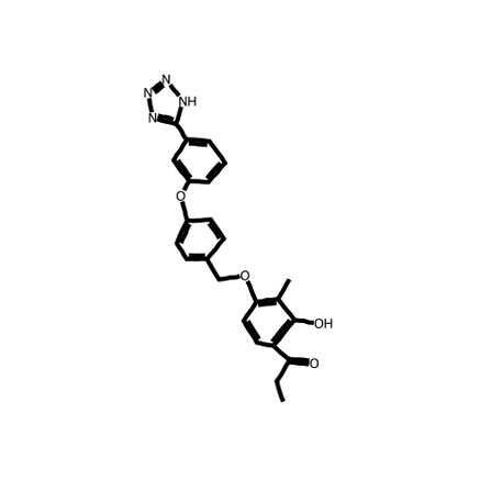 CCC(=O)c1ccc(OCc2ccc(Oc3cccc(-c4nnn[nH]4)c3)cc2)c(C)c1O